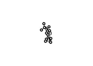 c1ccc(-c2cc(-c3ccccc3)cc(N(c3ccccc3)c3cc4ccc5cc(N(c6ccc7ccccc7c6)c6cccc7c6oc6ccccc67)cc6c5c4c4c(cccc34)O6)c2)cc1